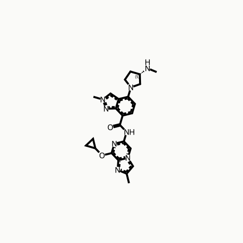 CN[C@H]1CCN(c2ccc(C(=O)Nc3cn4cc(C)nc4c(OC4CC4)n3)c3nn(C)cc23)C1